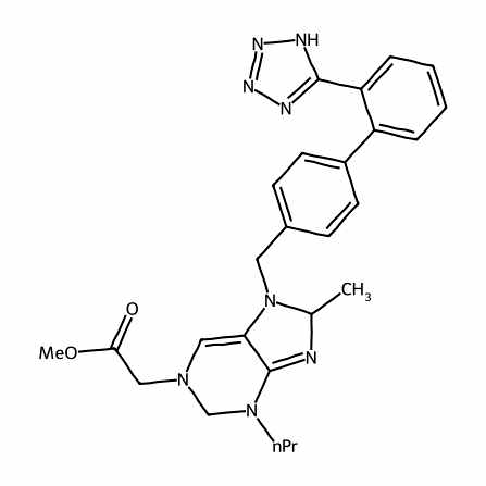 CCCN1CN(CC(=O)OC)C=C2C1=NC(C)N2Cc1ccc(-c2ccccc2-c2nnn[nH]2)cc1